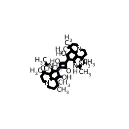 CC(=O)Nc1c(C2=C(O)/C(=c3/c(O)c4c5c(c3NC(C)=O)C(C)(C)CC[N+]=5CCC4(C)C)C2=O)c(O)c2c3c1C(C)(C)CCN3CCC2(C)C